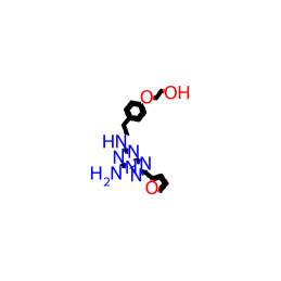 Nc1nc(NCCc2ccc(OCCO)cc2)nc2nc(-c3ccco3)nn12